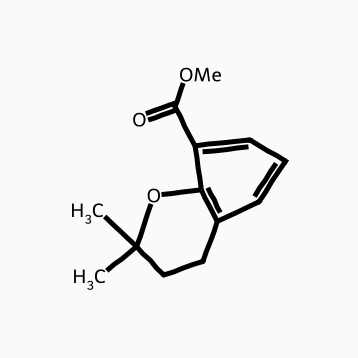 COC(=O)c1cccc2c1OC(C)(C)CC2